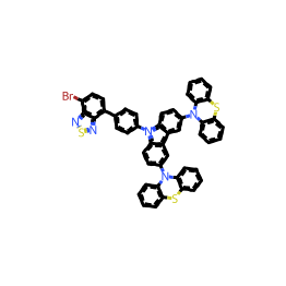 Brc1ccc(-c2ccc(-n3c4ccc(N5c6ccccc6Sc6ccccc65)cc4c4cc(N5c6ccccc6Sc6ccccc65)ccc43)cc2)c2nsnc12